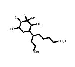 CCCCCCCCCCCCC(CCCCC(=O)O)C1CC(C)N(CC)C(C)(CC)C1C